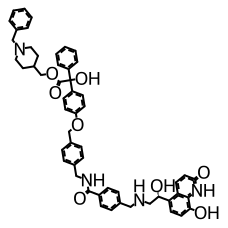 O=C(NCc1ccc(COc2ccc(C(O)(C(=O)OCC3CCN(Cc4ccccc4)CC3)c3ccccc3)cc2)cc1)c1ccc(CNC[C@H](O)c2ccc(O)c3[nH]c(=O)ccc23)cc1